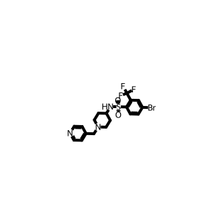 O=S(=O)(NC1CCN(Cc2ccncc2)CC1)c1ccc(Br)cc1C(F)(F)F